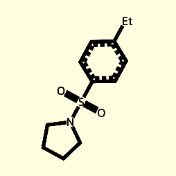 CCc1ccc(S(=O)(=O)N2CCCC2)cc1